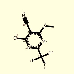 CSc1nc(C(F)(F)F)nc(Cl)c1C#N